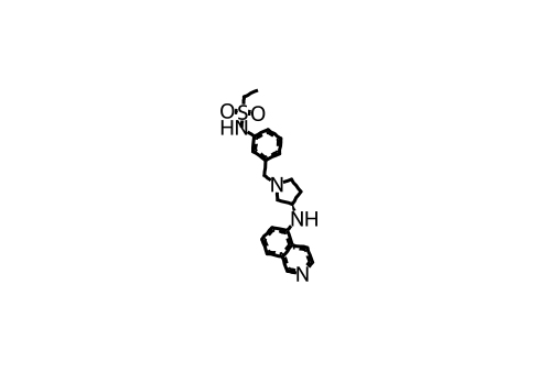 CCS(=O)(=O)Nc1cccc(CN2CC[C@@H](Nc3cccc4cnccc34)C2)c1